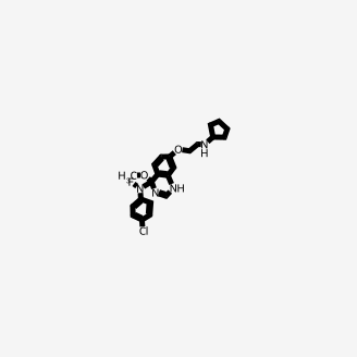 COC1(N(F)c2ccc(Cl)cc2)N=CNc2cc(OCCNC3CCCC3)ccc21